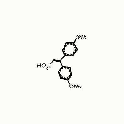 COc1ccc(C(=CC(=O)O)c2ccc(OC)cc2)cc1